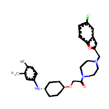 N#Cc1ccc(N[C@H]2CC[C@H](OCC(=O)N3CCN(Cc4cc5cc(Cl)ccc5o4)CC3)CC2)cc1C(F)(F)F